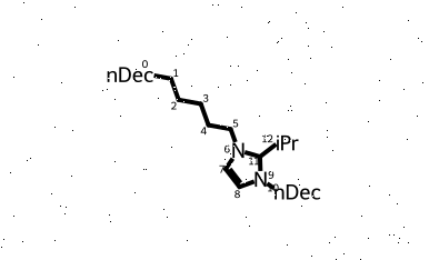 CCCCCCCCCCCCCCCN1C=CN(CCCCCCCCCC)C1C(C)C